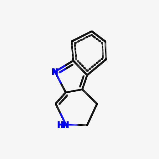 C1=C2N=c3ccccc3=C2CCN1